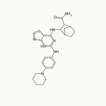 NC(=O)C1C2CCC(C2)C1Nc1nc(Nc2ccc(N3CCCCC3)cc2)[nH]c2nccc1-2